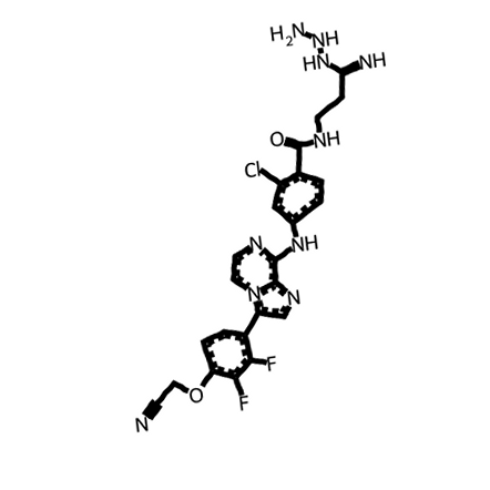 N#CCOc1ccc(-c2cnc3c(Nc4ccc(C(=O)NCCC(=N)NNN)c(Cl)c4)nccn23)c(F)c1F